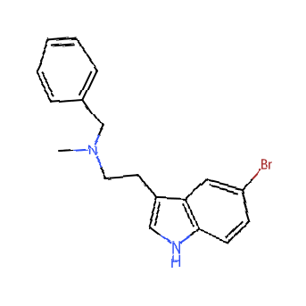 CN(CCc1c[nH]c2ccc(Br)cc12)Cc1ccccc1